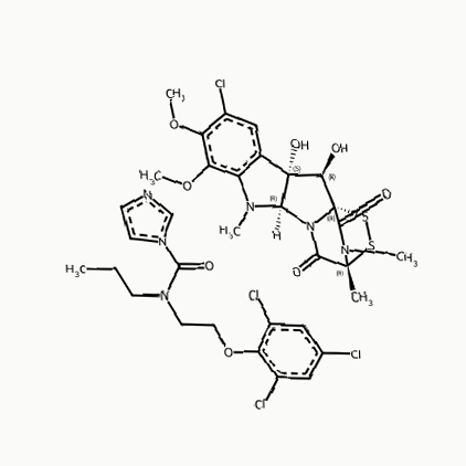 CCCN(CCOc1c(Cl)cc(Cl)cc1Cl)C(=O)n1ccnc1.COc1c(Cl)cc2c(c1OC)N(C)[C@@H]1N3C(=O)[C@@]4(C)SS[C@@]3(C(=O)N4C)[C@H](O)[C@]21O